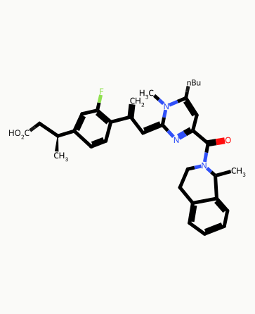 C=C(/C=C1/N=C(C(=O)N2CCc3ccccc3C2C)C=C(CCCC)N1C)c1ccc([C@@H](C)CC(=O)O)cc1F